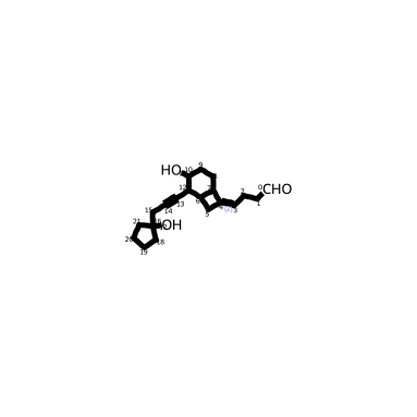 O=CCC/C=C1/CC2C1CCC(O)C2C#CCC1(O)CCCC1